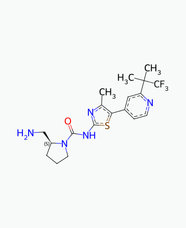 Cc1nc(NC(=O)N2CCC[C@H]2CN)sc1-c1ccnc(C(C)(C)C(F)(F)F)c1